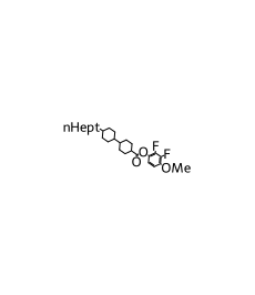 CCCCCCCC1CCC(C2CCC(C(=O)Oc3ccc(OC)c(F)c3F)CC2)CC1